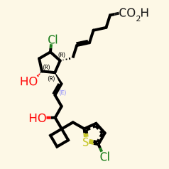 O=C(O)CCCC=CC[C@H]1C(Cl)C[C@@H](O)[C@@H]1/C=C/CC(O)C1(Cc2ccc(Cl)s2)CCC1